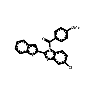 COc1ccc(C(=O)n2c(-c3cc4ccccc4s3)nc3cc(Cl)ccc32)cc1